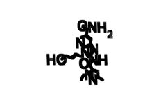 CCn1nc(C)cc1C(=O)Nc1nc2cc(C(N)=O)cnc2n1CC=CCO